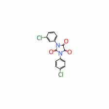 O=C1C(=O)N(c2cccc(Cl)c2)C(=O)N1c1ccc(Cl)cc1